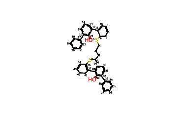 CC(CCCSC1CC=CC=C1c1cccc(-c2ccccc2)c1O)SC1=C(c2cccc(-c3ccccc3)c2O)CCC=C1